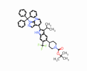 CC(C)c1c(-c2ccnc3c2cnn3C(c2ccccc2)(c2ccccc2)c2ccccc2)[nH]c2cc(C(F)(F)F)c(C3CCN(C(=O)OC(C)(C)C)CC3)cc12